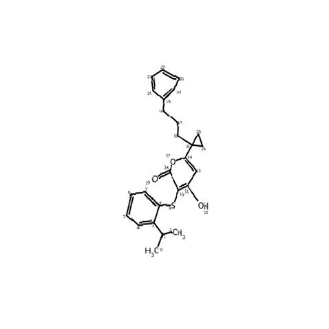 CC(C)c1ccccc1Sc1c(O)cc(C2(CCCc3ccccc3)CC2)oc1=O